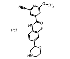 COc1cc(C(=O)Nc2ccc(C3CNCCO3)cc2F)cc(C#N)n1.Cl